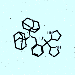 PC(c1ccccc1CP(C12CC3CC(CC(C3)C1)C2)C12CC3CC(CC(C3)C1)C2)(C1CCCN1)C1CCCN1